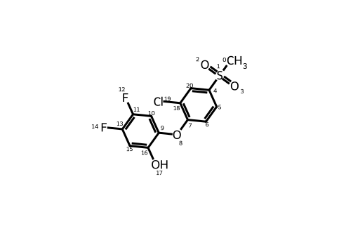 CS(=O)(=O)c1ccc(Oc2cc(F)c(F)cc2O)c(Cl)c1